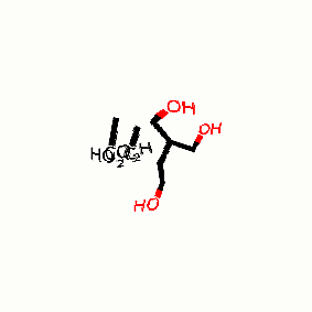 CC(=O)O.CC(=O)O.OCCC(CO)CO